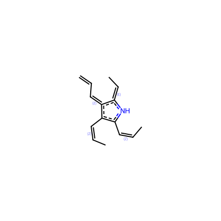 C=C/C=c1/c(/C=C\C)c(/C=C\C)[nH]/c1=C/C